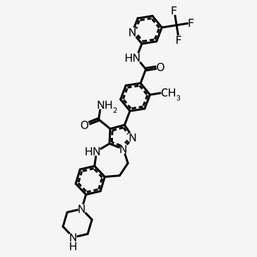 Cc1cc(-c2nn3c(c2C(N)=O)Nc2ccc(N4CCNCC4)cc2CC3)ccc1C(=O)Nc1cc(C(F)(F)F)ccn1